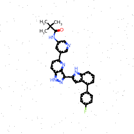 CC(C)(C)C(=O)Nc1cncc(-c2ccc3[nH]nc(-c4cc5c(-c6ccc(F)cc6)cccc5[nH]4)c3n2)c1